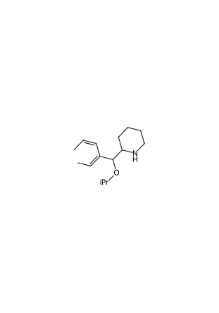 C/C=C\C(=C/C)C(OC(C)C)C1CCCCN1